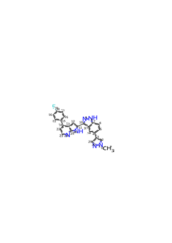 Cn1cc(-c2ccc3[nH]nc(-c4cc5c(-c6ccc(F)cc6)ccnc5[nH]4)c3c2)cn1